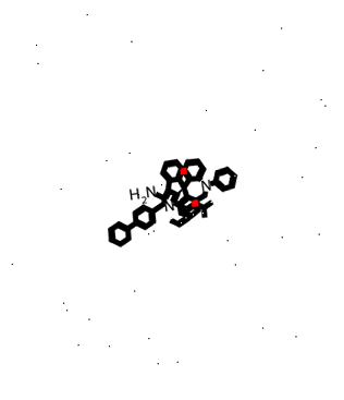 C/C=C\C(=C/C(C)C)c1nc(-c2ccc(C3=CC=CCC3)cc2)c(N)c2c1[C@@]1(c3ccccc3CN(c3ccccc3)c3ccccc31)c1ccccc1-2